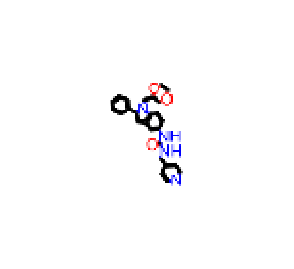 O=C(NCc1ccncc1)Nc1ccc2c(c1)cc(-c1ccccc1)n2CC1COCCO1